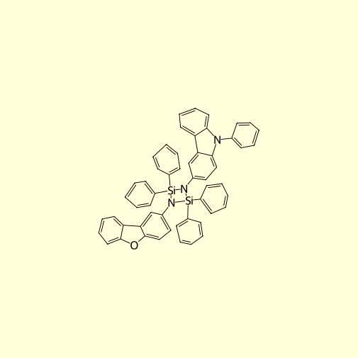 c1ccc(-n2c3ccccc3c3cc(N4[Si](c5ccccc5)(c5ccccc5)N(c5ccc6oc7ccccc7c6c5)[Si]4(c4ccccc4)c4ccccc4)ccc32)cc1